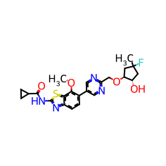 COc1c(-c2cnc(CO[C@H]3CC(C)(F)C[C@@H]3O)nc2)ccc2nc(NC(=O)C3CC3)sc12